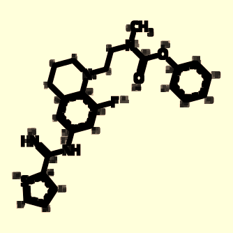 CN(CCN1CCCc2cc(NC(=N)c3cccs3)cc(F)c21)C(=O)Oc1ccccc1